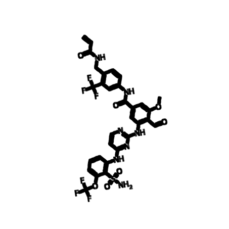 C=CC(=O)NCc1ccc(NC(=O)c2cc(Nc3nccc(Nc4cccc(OC(F)(F)F)c4S(N)(=O)=O)n3)c(C=O)c(OC)c2)cc1C(F)(F)F